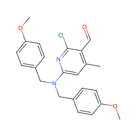 COc1ccc(CN(Cc2ccc(OC)cc2)c2cc(C)c(C=O)c(Cl)n2)cc1